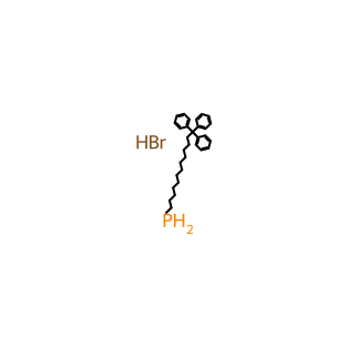 Br.PCCCCCCCCCCCCCC(c1ccccc1)(c1ccccc1)c1ccccc1